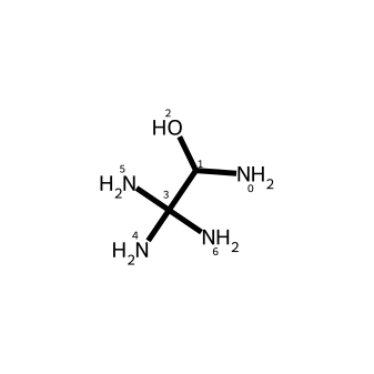 NC(O)C(N)(N)N